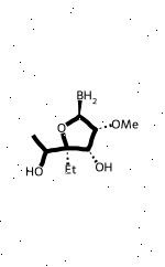 B[C@@H]1O[C@](CC)(C(C)O)[C@@H](O)[C@H]1OC